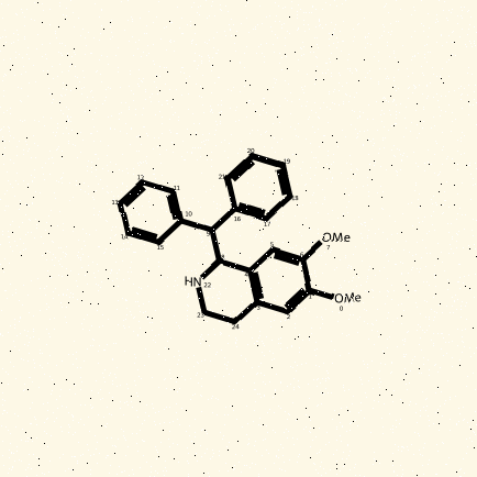 COc1cc2c(cc1OC)C(C(c1ccccc1)c1ccccc1)NCC2